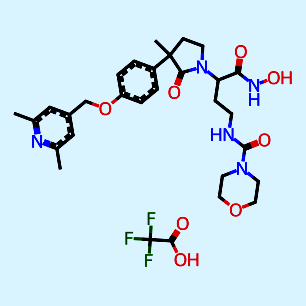 Cc1cc(COc2ccc(C3(C)CCN(C(CCNC(=O)N4CCOCC4)C(=O)NO)C3=O)cc2)cc(C)n1.O=C(O)C(F)(F)F